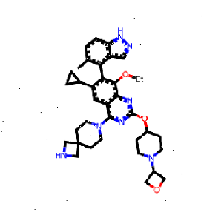 CCOc1c(-c2c(C)ccc3[nH]ncc23)c(C2CC2)cc2c(N3CCC4(CC3)CNC4)nc(OC3CCN(C4COC4)CC3)nc12